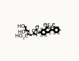 O=C(O)N(CC(O)CO)C[C@@H]1CN(c2ccc3cc(-c4ccccc4C(F)(F)F)[nH]c(=O)c3c2)C(=O)O1